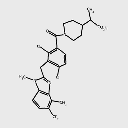 Cc1c(C(F)(F)F)ccc2c1nc(Cc1c(Cl)ccc(C(=O)N3CCC(C(C)C(=O)O)CC3)c1Cl)n2C